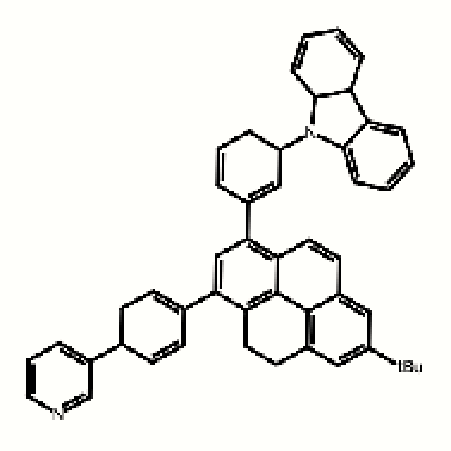 CC(C)(C)c1cc2c3c(ccc4c(C5=CC(N6c7ccccc7C7C=CC=CC76)CC=C5)cc(C5=CCC(c6cccnc6)C=C5)c(c43)CC2)c1